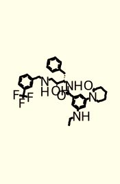 CCNc1cc(C(=O)N[C@@H](Cc2ccccc2)[C@H](O)CNCc2cccc(C(F)(F)F)c2)cc(N2CCCCC2=O)c1